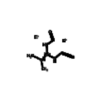 C[SiH](C)[Zr+2]([NH]C=O)[NH]C=O.[Cl-].[Cl-]